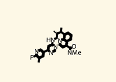 CNC(=O)c1ccnc2c(C(C)[C@H](C)CNc3cc(-c4cnc(F)c(C)c4)ncn3)cccc12